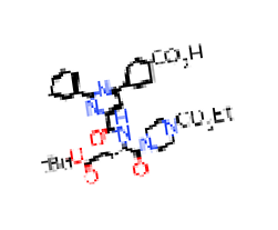 CCOC(=O)N1CCN(C(=O)[C@H](CCC(=O)OC(C)(C)C)NC(=O)c2cc(-c3ccc(C(=O)O)cc3)nc(-c3ccccc3)n2)CC1